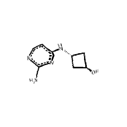 Nc1nccc(N[C@H]2C[C@H](O)C2)n1